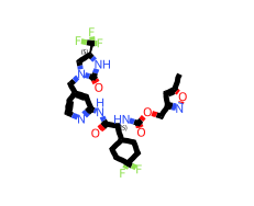 Cc1cc(COC(=O)N[C@H](C(=O)Nc2cc(CN3C[C@@H](C(F)(F)F)NC3=O)ccn2)C2CCC(F)(F)CC2)no1